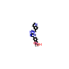 CCP(=O)(O)Cc1ccc(-c2cnc3nnn(Cc4ccc5ncccc5c4)c3n2)cc1